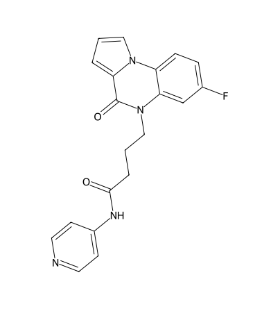 O=C(CCCn1c(=O)c2cccn2c2ccc(F)cc21)Nc1ccncc1